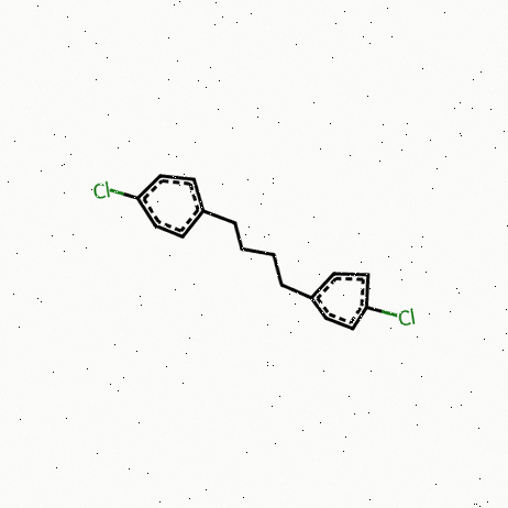 Clc1ccc(CCCCc2ccc(Cl)cc2)cc1